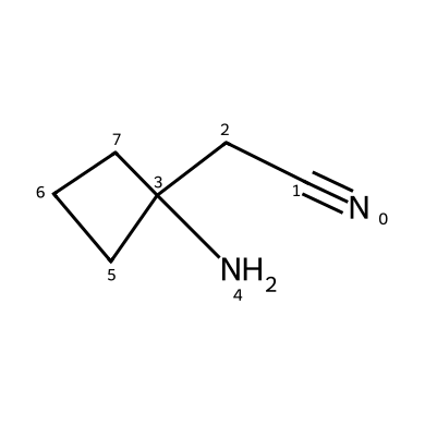 N#CCC1(N)CCC1